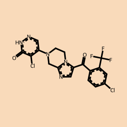 O=C(c1ccc(Cl)cc1C(F)(F)F)c1cnc2n1CCN(c1cn[nH]c(=O)c1Cl)C2